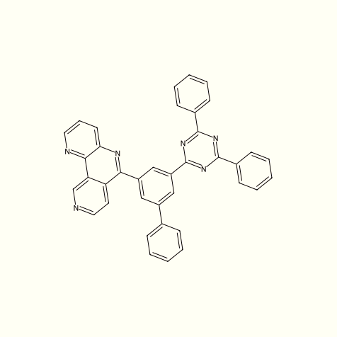 c1ccc(-c2cc(-c3nc(-c4ccccc4)nc(-c4ccccc4)n3)cc(-c3nc4cccnc4c4cnccc34)c2)cc1